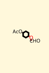 CC(=O)OC1CCC(OC=O)CC1